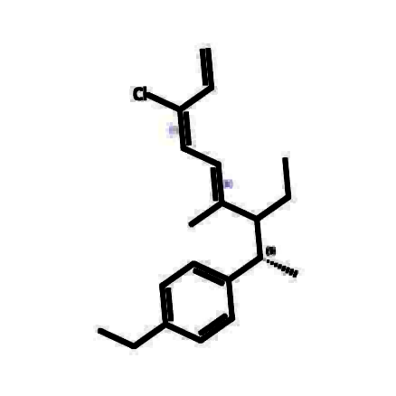 C=C/C(Cl)=C\C=C(/C)C(CC)[C@H](C)c1ccc(CC)cc1